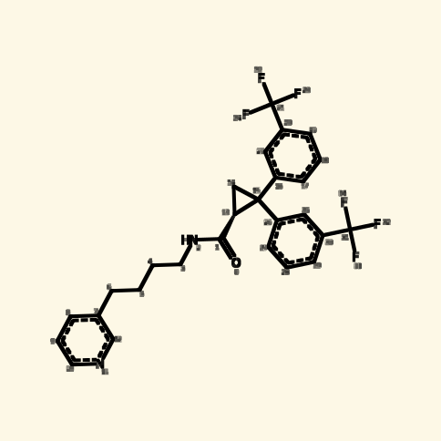 O=C(NCCCCc1cccnc1)[C@H]1CC1(c1cccc(C(F)(F)F)c1)c1cccc(C(F)(F)F)c1